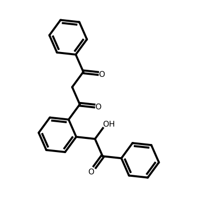 O=C(CC(=O)c1ccccc1C(O)C(=O)c1ccccc1)c1ccccc1